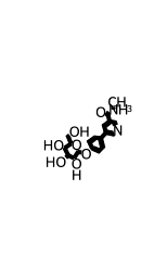 CNC(=O)c1cncc(-c2ccc(OC3OC(CO)C(O)C(O)C3O)cc2)c1